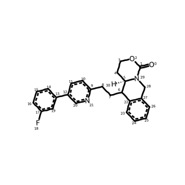 O=C1OCC[C@@H]2C(CCc3ccc(-c4cccc(F)c4)cn3)c3ccccc3CN12